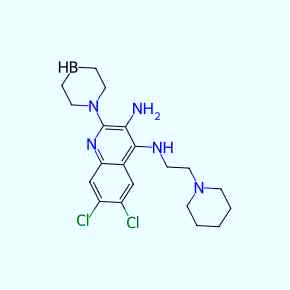 Nc1c(N2CCBCC2)nc2cc(Cl)c(Cl)cc2c1NCCN1CCCCC1